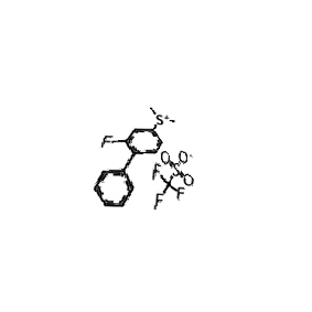 C[S+](C)c1ccc(-c2ccccc2)c(F)c1.O=S(=O)([O-])C(F)(F)F